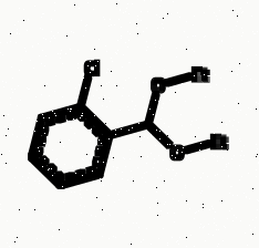 CCOC(OCC)c1ccccc1Cl